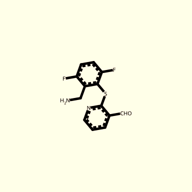 NCc1c(F)ccc(F)c1Sc1ncccc1C=O